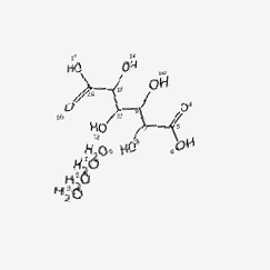 O.O.O.O.O=C(O)C(O)C(O)C(O)C(O)C(=O)O